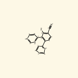 N#Cc1ccc(-c2ccncn2)c(-c2ccncn2)c1F